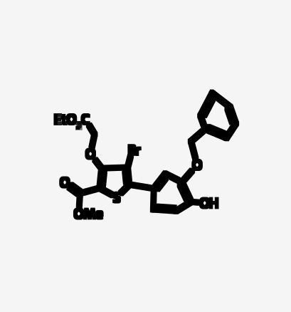 CCOC(=O)COc1c(C(=O)OC)sc(-c2ccc(O)c(OCc3ccccc3)c2)c1Br